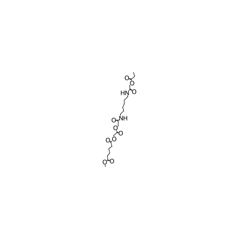 CCC(=O)OCC(=O)NCCCCCCNC(=O)COC(=O)COC(=O)CCCCC(=O)OC